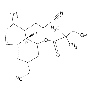 CCC(C)(C)C(=O)OC1CC(CO)C=C2C=CC(C)C(CCC#N)[C@@H]21